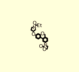 CCC(=O)N1CC[C@H](Oc2ccc3c(c2)OCc2ccc(N4CCOC4=O)cc2-3)C1